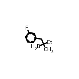 BC(C)(CC)Cc1cccc(F)c1